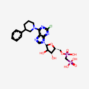 O=P(O)(O)CP(=O)(O)OC[C@H]1O[C@@H](n2cnc3c(N4CCCC(c5ccccc5)C4)nc(Cl)nc32)C(O)[C@H]1O